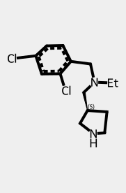 CCN(Cc1ccc(Cl)cc1Cl)C[C@H]1CCNC1